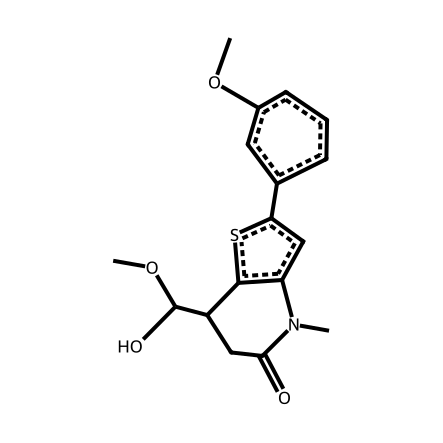 COc1cccc(-c2cc3c(s2)C(C(O)OC)CC(=O)N3C)c1